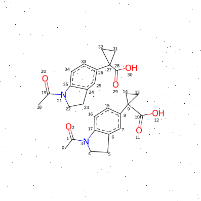 CC(=O)N1CCc2cc(C3(C(=O)O)CC3)ccc21.CC(=O)N1CCc2cc(C3(C(=O)O)CC3)ccc21